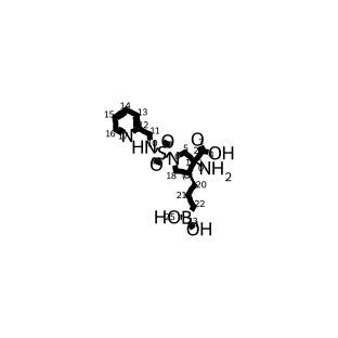 N[C@@]1(C(=O)O)CN(S(=O)(=O)NCc2ccccn2)C[C@@H]1CCCB(O)O